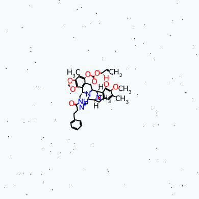 C=CCOC(=O)Oc1c(C)c2c(c3c1CC1[C@H]4c5c(cc(C)c(OC)c5O)C[C@@H]([C@H](C#N)N1[C@H]3CNC(=O)CCc1ccccc1)N4C)OCO2